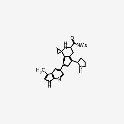 CNC(=O)C1Cc2c(C3CCCN3)cc(-c3cnc4[nH]cc(C)c4c3)cc2C2(CC2)N1